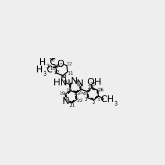 Cc1ccc(-c2nnc(N[C@H]3CCOC(C)(C)C3)c3cnccc23)c(O)c1